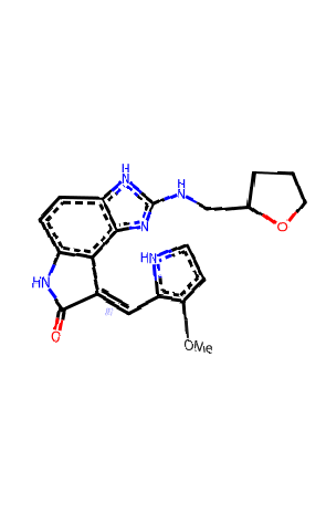 COc1cc[nH]c1/C=C1/C(=O)Nc2ccc3[nH]c(NCC4CCCO4)nc3c21